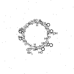 CCCC[C@H]1C(=O)N2CCC[C@H]2C(=O)N[C@@H](CC(=O)O)C(=O)N[C@@H](C(C)C)C(=O)N(C)[C@@H](Cc2ccccc2)C(=O)N[C@@H](Cc2ccc(O)cc2)C(=O)N(C)CC(=O)N[C@@H](Cc2c[nH]c3ccccc23)C(=O)N[C@@H](Cc2ccc(O)cc2)C(=O)N[C@@H](CC(C)C)C(=O)N[C@H](C(=O)NCC(N)=O)CSCC(=O)N[C@@H](Cc2ccccc2)C(=O)N(C)[C@@H](Cc2ccccc2)C(=O)N1C